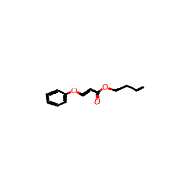 CCCCOC(=O)C=COc1ccccc1